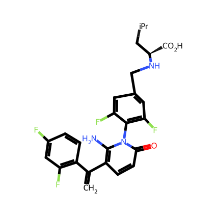 C=C(c1ccc(F)cc1F)c1ccc(=O)n(-c2c(F)cc(CN[C@@H](CC(C)C)C(=O)O)cc2F)c1N